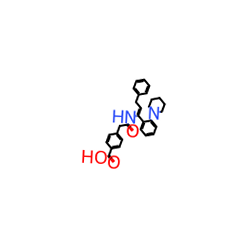 O=C(Cc1ccc(C(=O)O)cc1)NC(=CCc1ccccc1)c1ccccc1N1CCCCC1